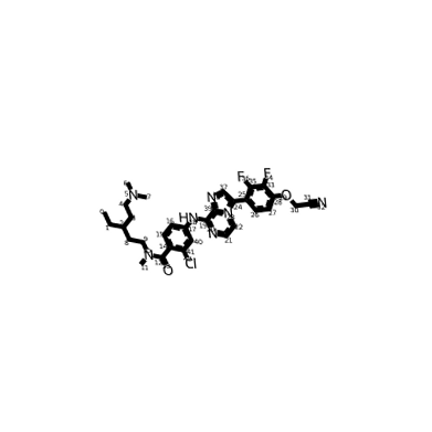 CCC(CCN(C)C)CCN(C)C(=O)c1ccc(Nc2nccn3c(-c4ccc(OCC#N)c(F)c4F)cnc23)cc1Cl